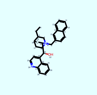 CCC1C[N+]2(Cc3ccc4ccccc4c3)CCC1CC2[C@@H](O)c1ccnc2ccccc12